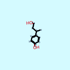 CC(CCO)c1ccc(O)cc1